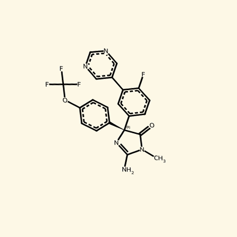 CN1C(=O)[C@@](c2ccc(OC(F)(F)F)cc2)(c2ccc(F)c(-c3cncnc3)c2)N=C1N